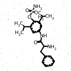 CC(C)c1cc(NC(=O)C(N)Cc2ccccc2)cc(C(C)C)c1OS(N)(=O)=O